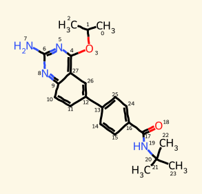 CC(C)Oc1nc(N)nc2ccc(-c3ccc(C(=O)NC(C)(C)C)cc3)cc12